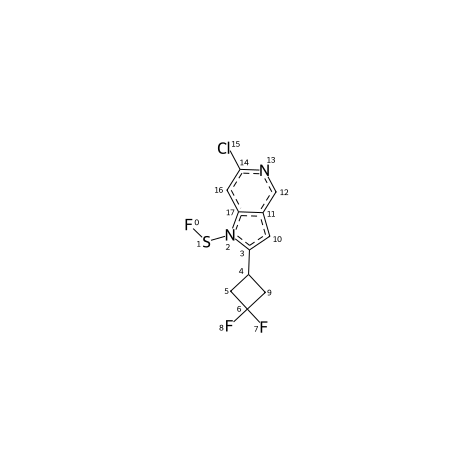 FSn1c(C2CC(F)(F)C2)cc2cnc(Cl)cc21